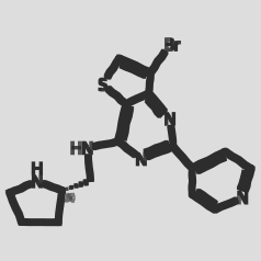 Brc1csc2c(NC[C@@H]3CCCN3)nc(-c3ccncc3)nc12